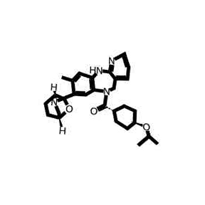 Cc1cc2c(cc1N1C[C@H]3CC[C@@H]1CO3)N(C(=O)[C@H]1CC[C@H](OC(C)C)CC1)Cc1cccnc1N2